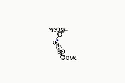 COc1cccc(S(=O)(=O)N2CCN(C(=O)/C=C/c3ccc(O)c(OC)c3)CC2)c1